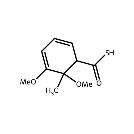 COC1=CC=CC(C(=O)S)C1(C)OC